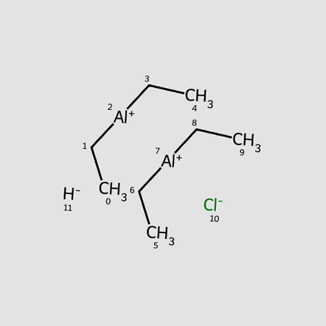 C[CH2][Al+][CH2]C.C[CH2][Al+][CH2]C.[Cl-].[H-]